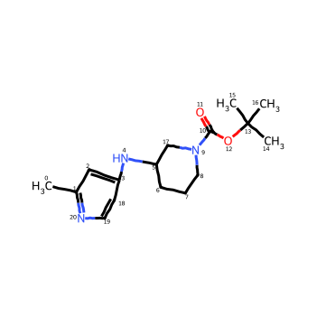 Cc1cc(NC2CCCN(C(=O)OC(C)(C)C)C2)ccn1